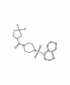 O=C(C1CCC(F)(F)C1)N1CCN(S(=O)(=O)c2cccc3ccccc23)CC1